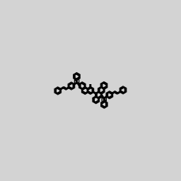 Cc1cc(-c2c3ccccc3c(N(c3ccccc3)c3ccc(C=Cc4ccccc4)cc3)c3cc4ccccc4cc23)cc2ccc3cc(N(c4ccccc4)c4ccc(C=Cc5ccccc5)cc4)ccc3c12